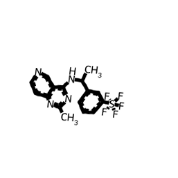 Cc1nc(NC(C)c2cccc(S(F)(F)(F)(F)F)c2)c2cnccc2n1